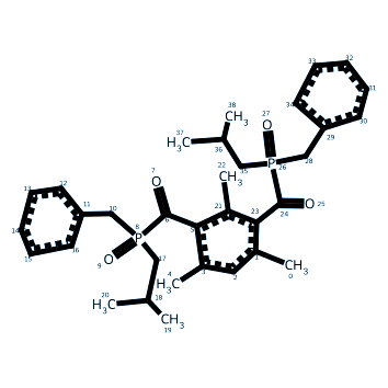 Cc1cc(C)c(C(=O)P(=O)(Cc2ccccc2)CC(C)C)c(C)c1C(=O)P(=O)(Cc1ccccc1)CC(C)C